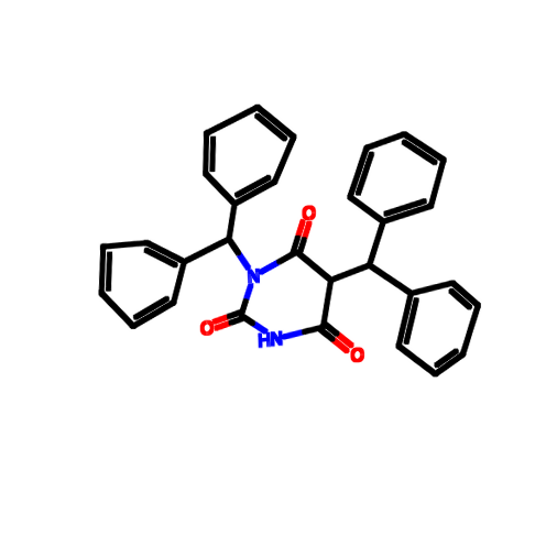 O=C1NC(=O)N(C(c2ccccc2)c2ccccc2)C(=O)C1C(c1ccccc1)c1ccccc1